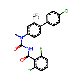 CN(C(=O)NC(=O)c1c(F)cccc1F)c1ccc(-c2ccc(Cl)cc2)c(C(F)(F)F)c1